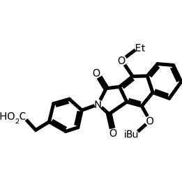 CCOc1c2c(c(OC(C)CC)c3ccccc13)C(=O)N(c1ccc(CC(=O)O)cc1)C2=O